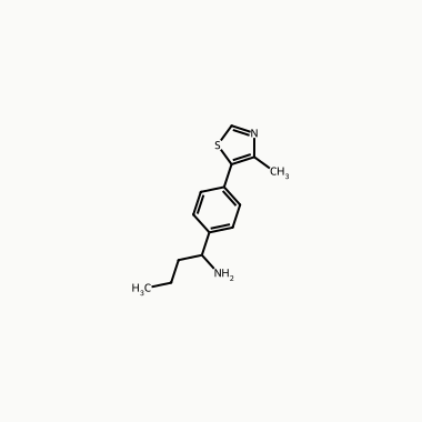 CCCC(N)c1ccc(-c2scnc2C)cc1